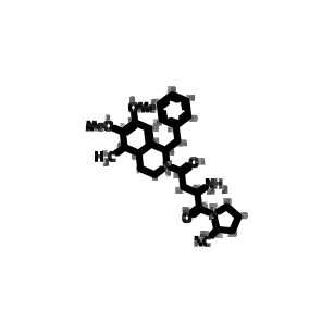 COC1=C(OC)C(C)C2CCN(C(=O)CC(N)C(=O)N3CCCC3C#N)C(Cc3ccccc3)C2=C1